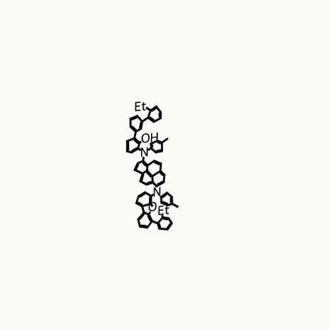 CCc1ccccc1-c1cccc(-c2cccc(N(c3ccc(C)cc3)c3ccc4ccc5c(N(c6ccc(C)cc6)c6cccc7c6oc6c(-c8ccccc8CC)cccc67)ccc6ccc3c4c65)c2O)c1